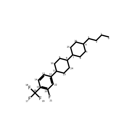 CCCCC1CCC(C2CCC(c3ccc(C(F)(F)F)c(F)c3)CC2)CC1